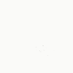 CCCCOC(=O)N[C@@H](COC1OC(CC)C(OCCCC)C(OCCCC)C1OCCCC)[C@@H]1OC(C)(C)O[C@@H]1C